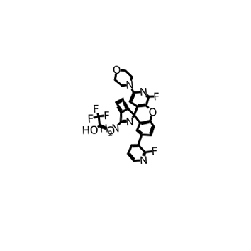 NC1=NC2(c3cc(-c4cccnc4F)ccc3Oc3c2cc(N2CCOCC2)nc3F)c2ccccc21.O=C(O)C(F)(F)F